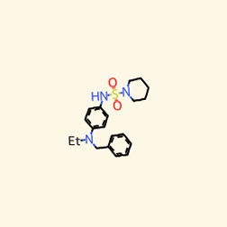 CCN(Cc1ccccc1)c1ccc(NS(=O)(=O)N2CCCCC2)cc1